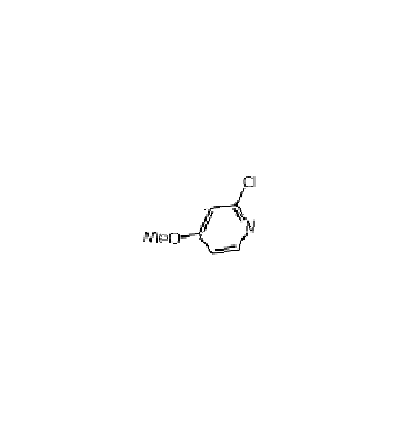 COc1[c]c(Cl)ncc1